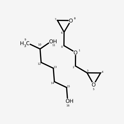 C(OCC1CO1)C1CO1.CC(O)CCCCO